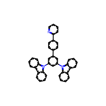 c1ccc(-c2ccc(-c3cc(-n4c5ccccc5c5ccccc54)cc(-n4c5ccccc5c5ccccc54)c3)cc2)nc1